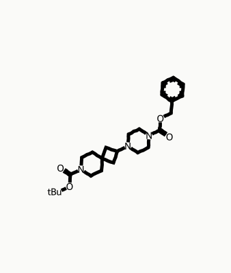 CC(C)(C)OC(=O)N1CCC2(CC1)CC(N1CCN(C(=O)OCc3ccccc3)CC1)C2